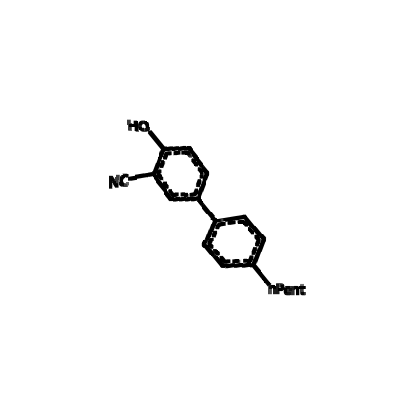 CCCCCc1ccc(-c2ccc(O)c(C#N)c2)cc1